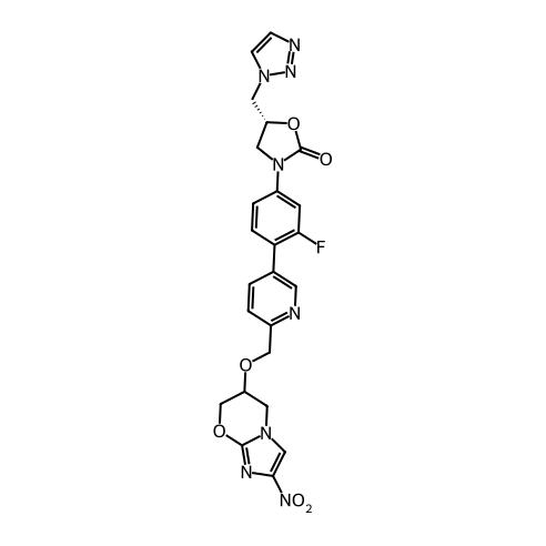 O=C1O[C@@H](Cn2ccnn2)CN1c1ccc(-c2ccc(COC3COc4nc([N+](=O)[O-])cn4C3)nc2)c(F)c1